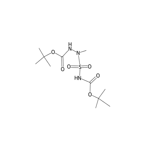 CN(NC(=O)OC(C)(C)C)S(=O)(=O)NC(=O)OC(C)(C)C